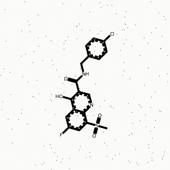 CS(=O)(=O)c1cc(F)cc2c(O)c(C(=O)NCc3ccc(Cl)cc3)cnc12